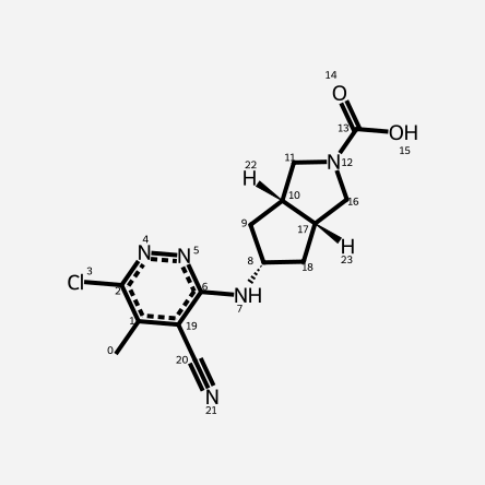 Cc1c(Cl)nnc(N[C@@H]2C[C@@H]3CN(C(=O)O)C[C@@H]3C2)c1C#N